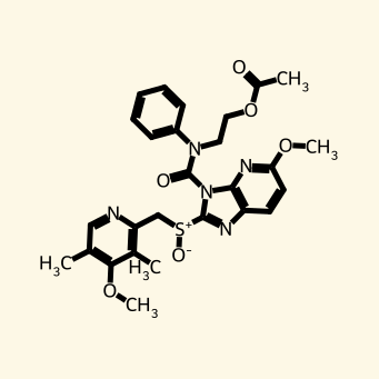 COc1ccc2nc([S+]([O-])Cc3ncc(C)c(OC)c3C)n(C(=O)N(CCOC(C)=O)c3ccccc3)c2n1